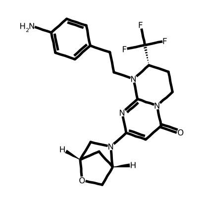 Nc1ccc(CCN2c3nc(N4C[C@@H]5C[C@H]4CO5)cc(=O)n3CC[C@H]2C(F)(F)F)cc1